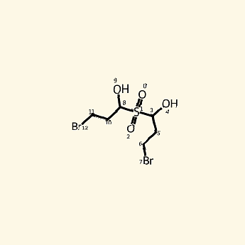 O=S(=O)(C(O)CCBr)C(O)CCBr